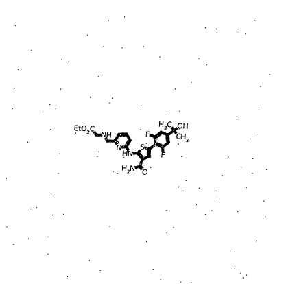 CCOC(=O)CNCc1cccc(Nc2sc(-c3c(F)cc(C(C)(C)O)cc3F)cc2C(N)=O)n1